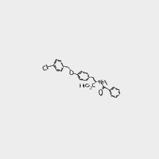 O=C(O)/C(=C\c1ccc(OCc2ccc(Cl)cc2)cc1)NC(=O)c1ccccc1